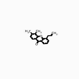 C=CCc1cccc2c(=O)c3ccc(C)c(C)c3oc12